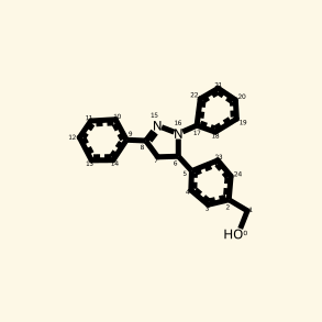 OCc1ccc(C2CC(c3ccccc3)=NN2c2ccccc2)cc1